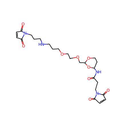 O=C(CCN1C(=O)C=CC1=O)NC1CCOC(COCCOCCCNCCCN2C(=O)C=CC2=O)O1